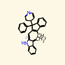 C=c1/c(=C\C2=C(C)c3ccccc3C2(c2ccccc2)C2C=CN=CC2)[nH]c2ccccc12